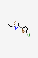 CCc1nc(-c2ccc(Cl)s2)cs1